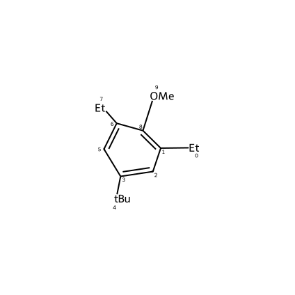 CCc1cc(C(C)(C)C)cc(CC)c1OC